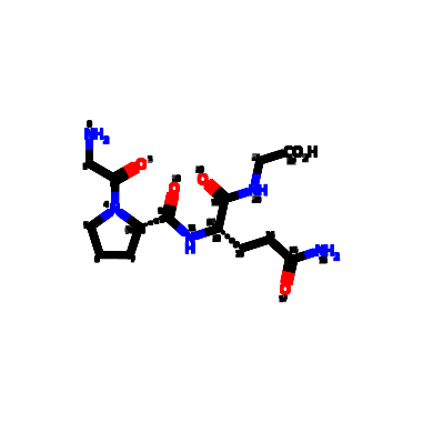 NCC(=O)N1CCC[C@H]1C(=O)N[C@@H](CCC(N)=O)C(=O)NCC(=O)O